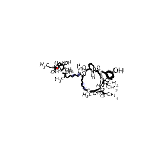 CC[C@H]1C[C@@H]2C[C@H]3[C@@H](O)[C@@H](C)[C@H](C[C@H](O)[C@@H](C)CC/C=C/C=C(\C)[C@@H]4C/C=C/C=C/C[C@H](C)[C@@H](O)[C@@H](CCC(C)=O)C(=O)N[C@@H](C(C)C)C(=O)N[C@@H](Cc5cccc(O)c5)C(=O)N5CCCC(N5)C(=O)O4)O[C@]23NC1=O